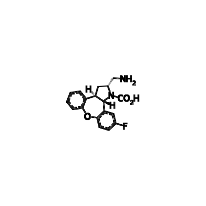 NC[C@H]1C[C@@H]2c3ccccc3Oc3ccc(F)cc3[C@H]2N1C(=O)O